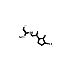 CC/C=C(/NC)NCC(C)C1CCC(N)C1C